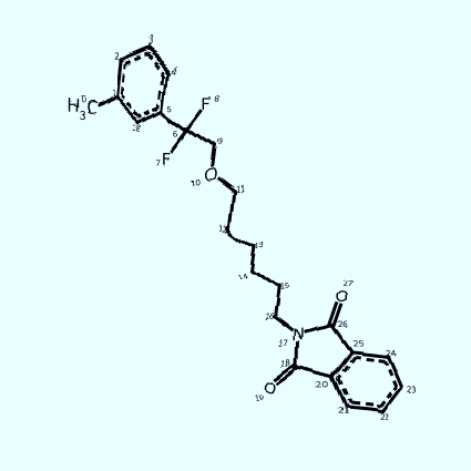 Cc1cccc(C(F)(F)COCCCCCCN2C(=O)c3ccccc3C2=O)c1